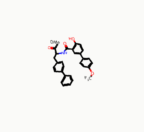 COC(=O)C(Cc1ccc(-c2ccccc2)cc1)NC(=O)c1cc(-c2ccc(OC(F)(F)F)cc2)ccc1O